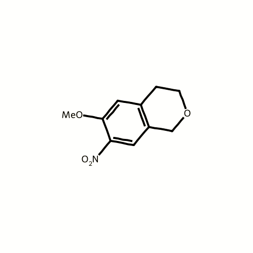 COc1cc2c(cc1[N+](=O)[O-])COCC2